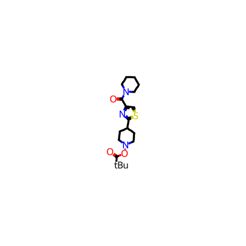 CC(C)(C)C(=O)ON1CCC(c2nc(C(=O)N3CCCCC3)cs2)CC1